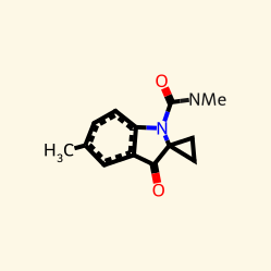 CNC(=O)N1c2ccc(C)cc2C(=O)C12CC2